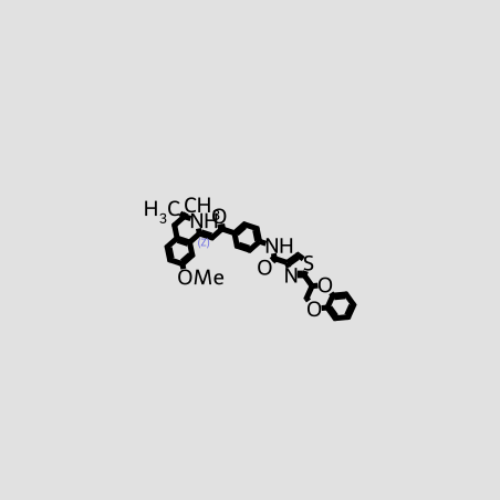 COc1ccc2c(c1)/C(=C/C(=O)c1ccc(NC(=O)c3csc(C4COc5ccccc5O4)n3)cc1)NC(C)(C)C2